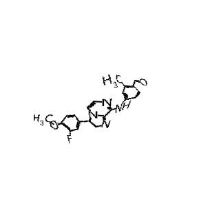 COc1ccc(C2CN=C3C(Nc4ccc(C=O)c(C)c4)=NC=CN32)cc1F